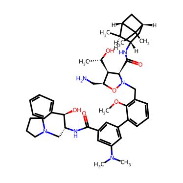 COc1c(CN2O[C@@H](CN)[C@@H]([C@H](C)O)[C@H]2C(=O)N[C@H]2C[C@H]3C[C@@H]([C@@H]2C)C3(C)C)cccc1-c1cc(C(=O)N[C@H](CN2CCCC2)[C@H](O)c2ccccc2)cc(N(C)C)c1